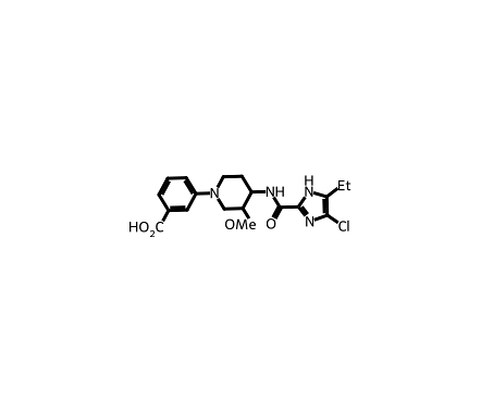 CCc1[nH]c(C(=O)NC2CCN(c3cccc(C(=O)O)c3)CC2OC)nc1Cl